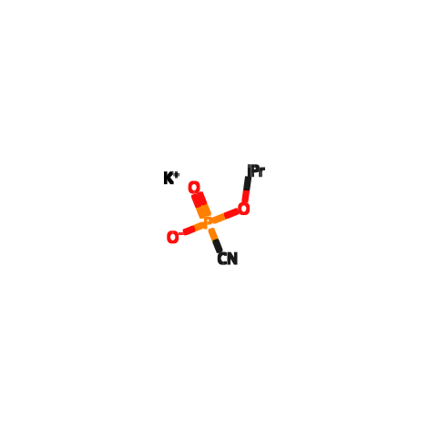 CC(C)OP(=O)([O-])C#N.[K+]